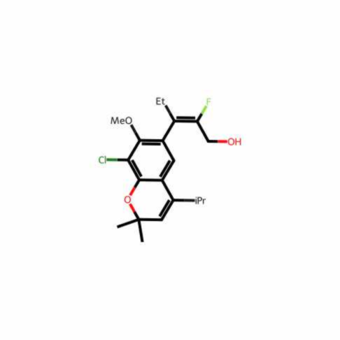 CC/C(=C(\F)CO)c1cc2c(c(Cl)c1OC)OC(C)(C)C=C2C(C)C